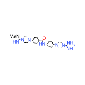 CNC(=N)N1CCN(c2ccc(C(=O)Nc3ccc(N4CCN(C(=N)N)CC4)cc3)cc2)CC1